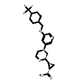 O=C(O)[C@H]1C[C@@H]1[C@@H]1CN(c2cncc(OCC3CCC(C(F)(F)F)CC3)c2)CCO1